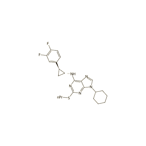 CCCSc1nc(N[C@@H]2C[C@H]2c2ccc(F)c(F)c2)c2ncn(C3CCCCC3)c2n1